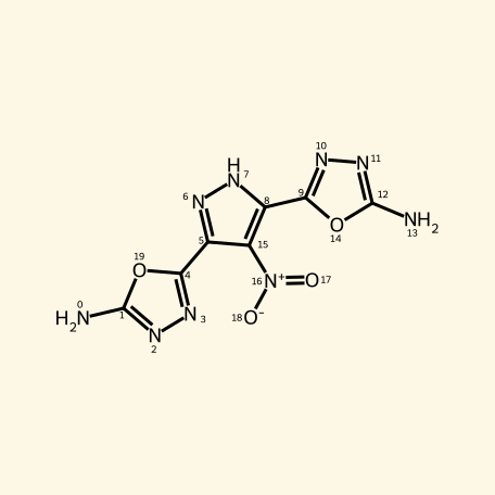 Nc1nnc(-c2n[nH]c(-c3nnc(N)o3)c2[N+](=O)[O-])o1